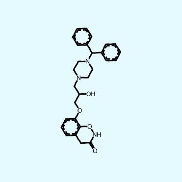 O=C1Cc2cccc(OCC(O)CN3CCN(C(c4ccccc4)c4ccccc4)CC3)c2ON1